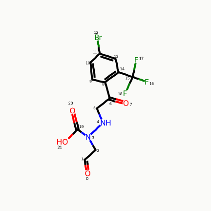 O=CCN(NCC(=O)c1ccc(Br)cc1C(F)(F)F)C(=O)O